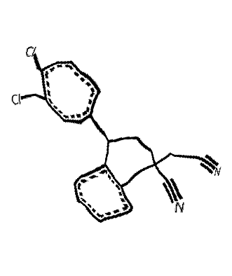 N#CCC1(C#N)CC(c2ccc(Cl)c(Cl)c2)c2ccccc21